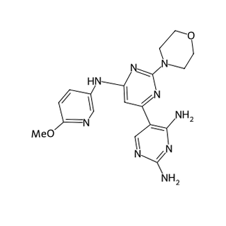 COc1ccc(Nc2cc(-c3cnc(N)nc3N)nc(N3CCOCC3)n2)cn1